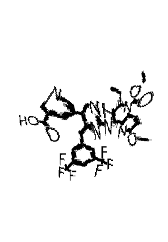 CCOC(=O)N1c2ccc(OC)nc2[C@@H](Nc2ncc(-c3cncc(C(=O)O)c3)c(Cc3cc(C(F)(F)F)cc(C(F)(F)F)c3)n2)C[C@H]1CC